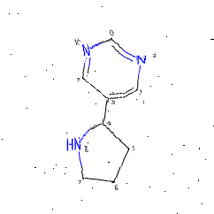 c1ncc(C2CCCN2)cn1